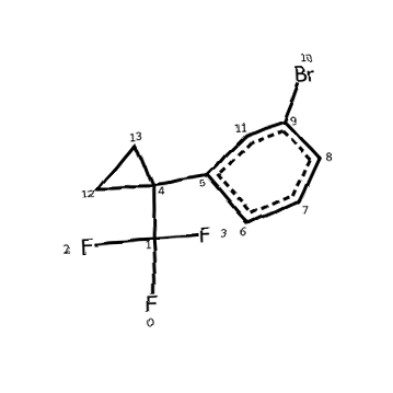 FC(F)(F)C1(c2cccc(Br)c2)CC1